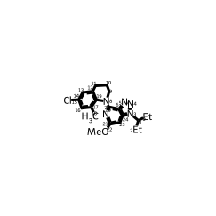 CCC(CC)n1nnc2c(N3CCCc4cc(Cl)cc(C)c43)nc(OC)cc21